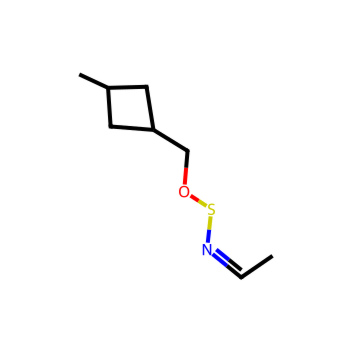 C/C=N\SOCC1CC(C)C1